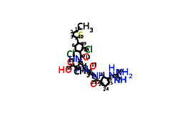 Cc1ccc(-c2cc(Cl)c(C(=O)N[C@@H](CNC(=O)CNC(=O)c3cccc(NC(=N)N)c3)[C@H](C)C(=O)O)c(Cl)c2)s1